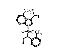 C=CC(c1ccccc1C(F)(F)F)S(=O)(=O)n1cc(C(F)F)c2c([N+](=O)[O-])cccc21